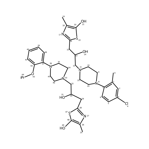 Cc1cc(Cl)ccc1N1CCN(CC(O)Cc2nc(C)c(O)s2)CC1.Cc1nc(CC(O)CN2CCN(c3ccccc3OC(C)C)CC2)sc1O